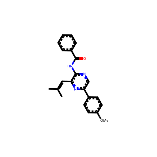 COc1ccc(-c2cnc(NC(=O)c3ccccc3)c(C=C(C)C)n2)cc1